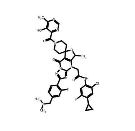 Cc1ncnc(C(=O)N2CCC3(CC2)OC(C)c2c3c(=O)n3nc(-c4ccc(CN(C)C)cc4F)nc3n2CC(=O)Nc2cc(F)c(C3CC3)cc2Cl)c1O